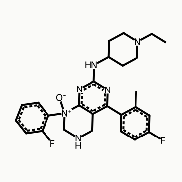 CCN1CCC(Nc2nc(-c3ccc(F)cc3C)c3c(n2)[N+]([O-])(c2ccccc2F)CNC3)CC1